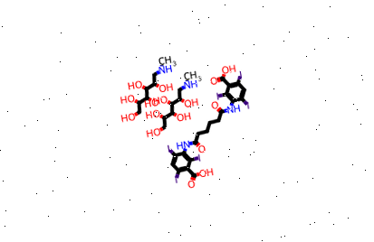 CNCC(O)C(O)C(O)C(O)CO.CNCC(O)C(O)C(O)C(O)CO.O=C(CCCCC(=O)Nc1c(I)cc(I)c(C(=O)O)c1I)Nc1c(I)cc(I)c(C(=O)O)c1I